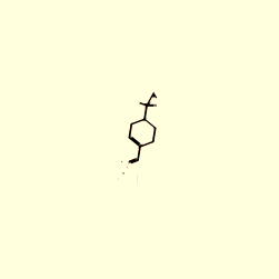 CC1(C2CC=C(C=NO)CC2)CO1